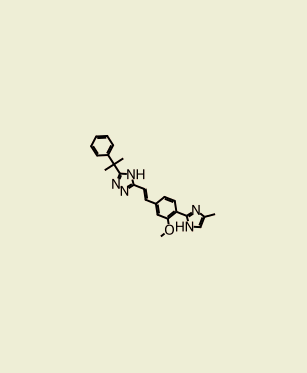 COc1cc(/C=C/c2nnc(C(C)(C)c3ccccc3)[nH]2)ccc1-c1nc(C)c[nH]1